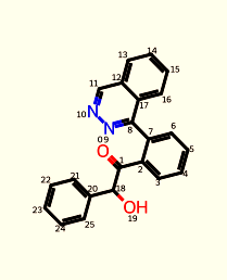 O=C(c1ccccc1-c1nncc2ccccc12)C(O)c1ccccc1